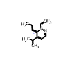 C=CN1N=CC=C(C(C)C)/C1=C/CC